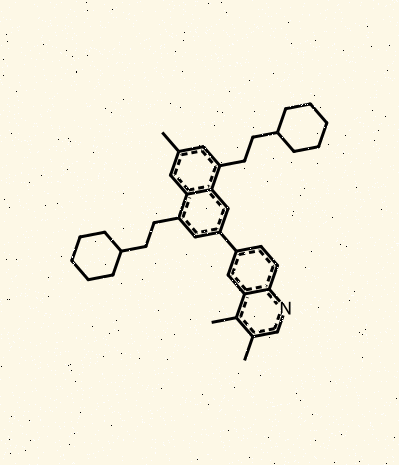 Cc1cc(CCC2CCCCC2)c2cc(-c3ccc4ncc(C)c(C)c4c3)cc(CCC3CCCCC3)c2c1